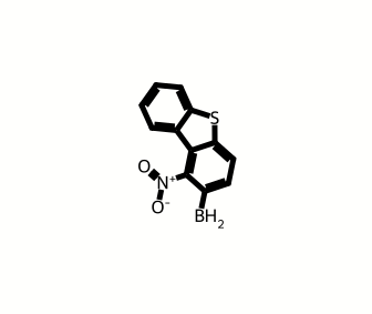 Bc1ccc2sc3ccccc3c2c1[N+](=O)[O-]